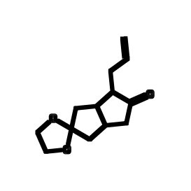 C=CCC1C(=O)CC2CC3(CC21)OCCO3